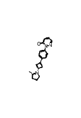 C[C@@H]1CCCN1[C@H]1C[C@H](c2ccc(-n3ncccc3=O)cc2)C1